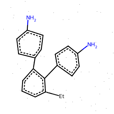 CCc1cccc(-c2ccc(N)cc2)c1-c1ccc(N)cc1